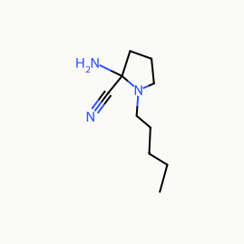 CCCCCN1CCCC1(N)C#N